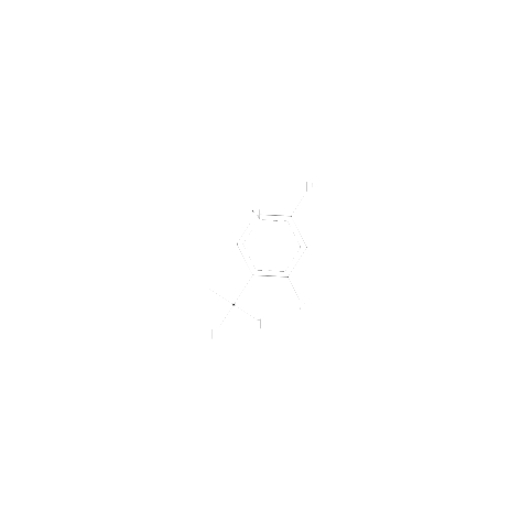 FC(F)(F)c1cnc(Br)cc1Cl